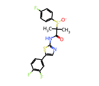 CC(C)(C(=O)Nc1ncc(-c2ccc(F)c(F)c2)s1)[S+]([O-])c1ccc(F)cc1